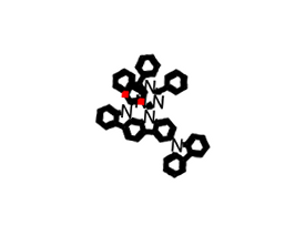 c1ccc(-c2ccc(-n3c4ccccc4c4ccc5c6cc(-n7c8ccccc8c8ccccc87)ccc6n(-c6nc(-c7ccccc7)nc(-c7ccccc7)n6)c5c43)cc2)cc1